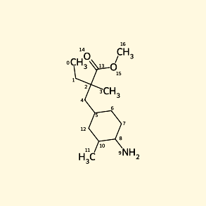 CCC(C)(CC1CCC(N)C(C)C1)C(=O)OC